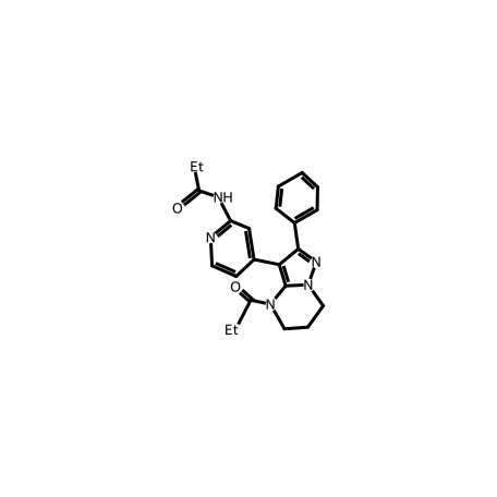 CCC(=O)Nc1cc(-c2c(-c3ccccc3)nn3c2N(C(=O)CC)CCC3)ccn1